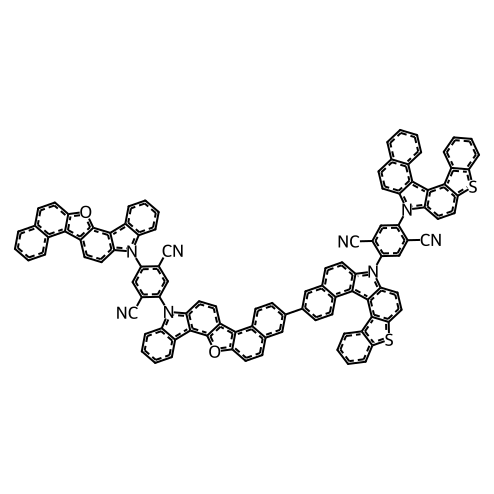 N#Cc1cc(-n2c3ccccc3c3c4oc5ccc6cc(-c7ccc8c(ccc9c8c8c%10c(ccc8n9-c8cc(C#N)c(-n9c%11ccc%12ccccc%12c%11c%11c%12c(ccc%119)sc9ccccc9%12)cc8C#N)sc8ccccc8%10)c7)ccc6c5c4ccc32)c(C#N)cc1-n1c2ccccc2c2c3oc4ccc5ccccc5c4c3ccc21